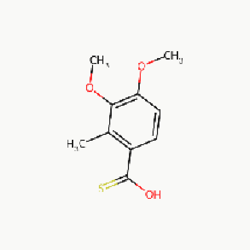 COc1ccc(C(O)=S)c(C)c1OC